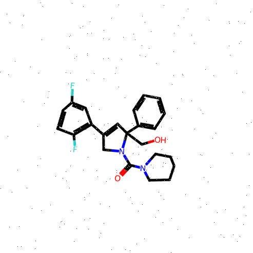 O=C(N1CCCCC1)N1CC(c2cc(F)ccc2F)=CC1(CO)c1ccccc1